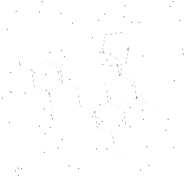 Cc1cc(C(C)Nc2ccccc2C(=O)O)c2nc(N3C4CCC3CC4)cc(=O)n2c1